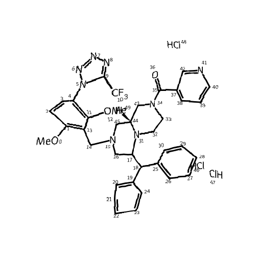 COc1ccc(-n2nnnc2C(F)(F)F)c(OC)c1CN1CC(C(c2ccccc2)c2ccccc2)N2CCN(C(=O)c3cccnc3)C[C@H]2C1.Cl.Cl.Cl